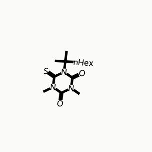 CCCCCCC(C)(C)n1c(=O)n(C)c(=O)n(C)c1=S